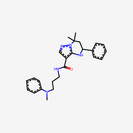 CN(CCCNC(=O)c1cnn2c1NC(c1ccccc1)CC2(C)C)c1ccccc1